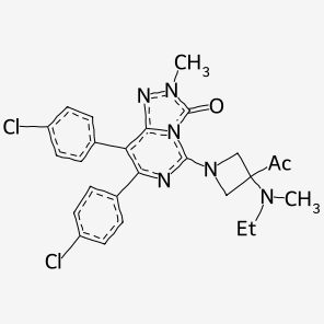 CCN(C)C1(C(C)=O)CN(c2nc(-c3ccc(Cl)cc3)c(-c3ccc(Cl)cc3)c3nn(C)c(=O)n23)C1